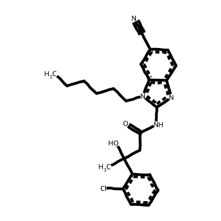 CCCCCCn1c(NC(=O)CC(C)(O)c2ccccc2Cl)nc2ccc(C#N)cc21